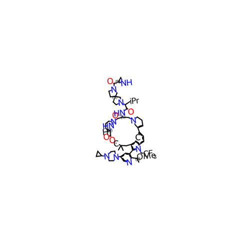 CO[C@@H](C)c1ncc(N2CCN(C3CC3)CC2)cc1-c1c2c3cc(ccc3n1CC(F)(F)F)C1=CCCN(C1)C[C@H](NC(=O)C(C(C)C)N1CC[C@]3(CCN(C(=O)[C@H]4CN4)C3)C1)C(=O)N1CCC[C@H](N1)C(=O)OCC(C)(C)C2